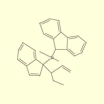 C=CC(CC)C1([Si](C)(C)C2c3ccccc3-c3ccccc32)C=Cc2ccccc21